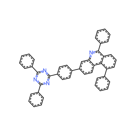 c1ccc(-c2nc(-c3ccccc3)nc(-c3ccc(-c4ccc5c(c4)nc(-c4ccccc4)c4cccc(-c6ccccc6)c45)cc3)n2)cc1